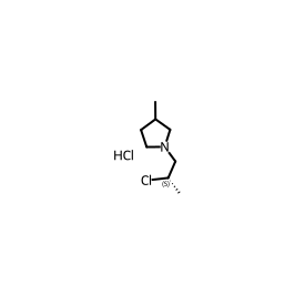 CC1CCN(C[C@H](C)Cl)C1.Cl